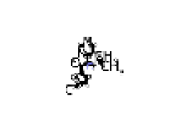 CN(C)/C=C(/C(=O)c1ccc(Cl)s1)c1ccncn1